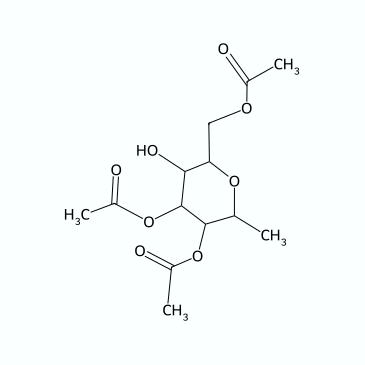 CC(=O)OCC1OC(C)C(OC(C)=O)C(OC(C)=O)C1O